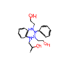 CC(O)CN(c1ccccc1)N(CCO)N(NCCO)c1ccccc1